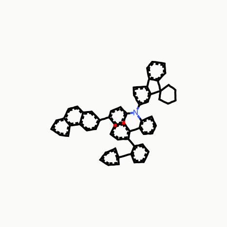 c1ccc(-c2ccccc2-c2ccccc2-c2ccccc2N(c2ccc(-c3ccc4c(ccc5ccccc54)c3)cc2)c2ccc3c(c2)C2(CCCCC2)c2ccccc2-3)cc1